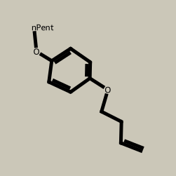 C=CCCOc1ccc(OCCCCC)cc1